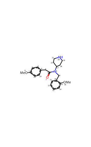 COc1ccc(CC(=O)N(Cc2ccccc2OC)C2CCNCC2)cc1